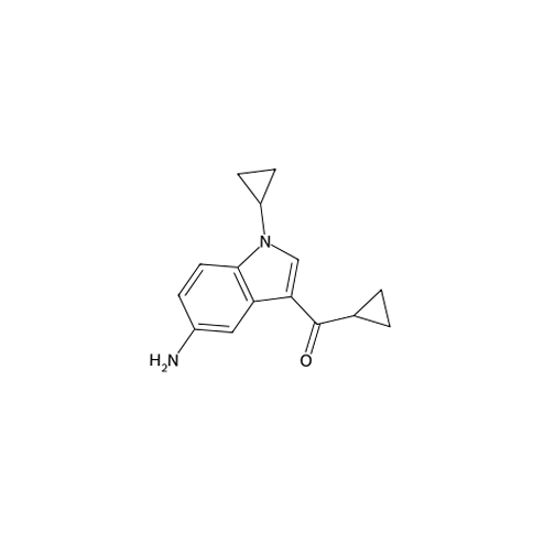 Nc1ccc2c(c1)c(C(=O)C1CC1)cn2C1CC1